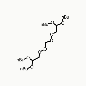 CCCCOC(COOCOOCC(OCCCC)OCCCC)OCCCC